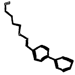 O=CCCCCO/N=C/c1ccc(-c2ccccc2)cc1